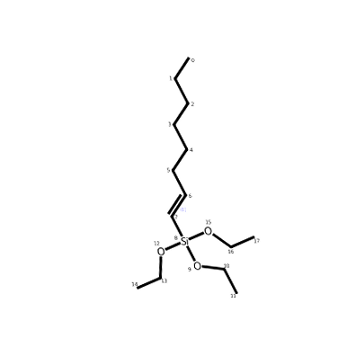 CCCCCC/C=C/[Si](OCC)(OCC)OCC